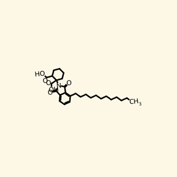 CCCCCCCCCCCCc1cccc2c1C(=O)N(C1(C(=O)O)CCCCC1C(=O)O)C2=O